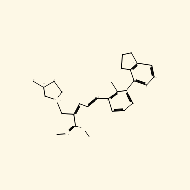 C\N=C(OC)/C(=C\C=C\c1cccc(-c2cccc3c2CCC3)c1Cl)CN1CCC(C)C1